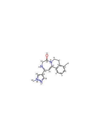 Cc1cccc2c1CCN1C(=O)CN=C(c3cnn(C)c3)C=C21